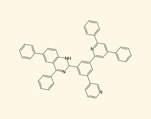 c1ccc(C2=NC(c3cc(-c4cccnc4)cc(-c4cc(-c5ccccc5)cc(-c5ccccc5)n4)c3)Nc3ccc(-c4ccccc4)cc32)cc1